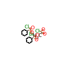 CS(=O)(=O)Cl.O=S(=O)(Br)c1ccccc1.O=S(=O)(Cl)c1ccccc1